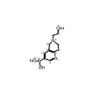 OCCN1CCc2ncc(B(O)O)cc2C1